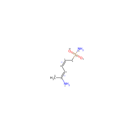 C/C(N)=C\C=C/CS(N)(=O)=O